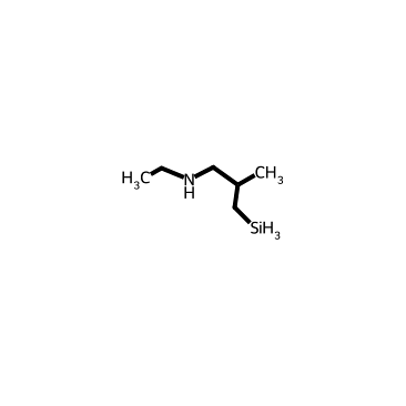 CCNCC(C)C[SiH3]